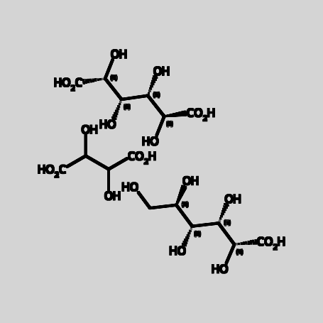 O=C(O)C(O)C(O)C(=O)O.O=C(O)[C@@H](O)[C@@H](O)[C@H](O)[C@@H](O)C(=O)O.O=C(O)[C@H](O)[C@@H](O)[C@H](O)[C@H](O)CO